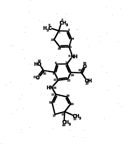 CC1(C)C=CC(Nc2cc(C(=O)O)c(NC3=CCC(C)(C)C=C3)cc2C(=O)O)=CC1